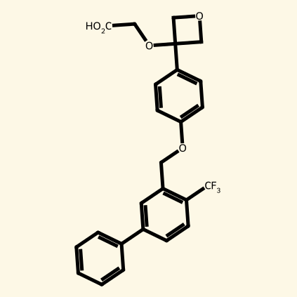 O=C(O)COC1(c2ccc(OCc3cc(-c4ccccc4)ccc3C(F)(F)F)cc2)COC1